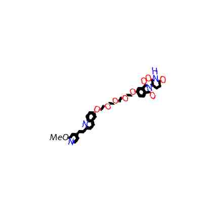 COc1cc(C=Cc2ccc3cc(OCCOCCOCCOCCOc4ccc5c(c4)C(=O)N(C4CCC(=O)NC4=O)C5=O)ccc3n2)ccn1